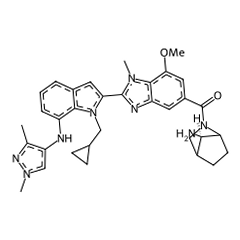 COc1cc(C(=O)N2CC3CCC2[C@@H]3N)cc2nc(-c3cc4cccc(Nc5cn(C)nc5C)c4n3CC3CC3)n(C)c12